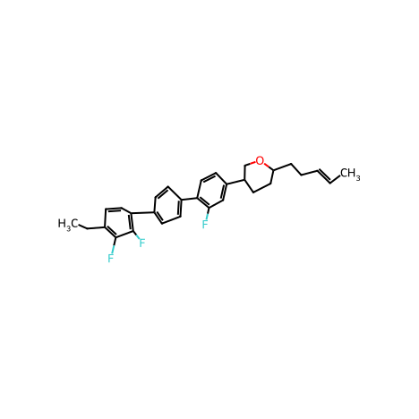 C/C=C/CCC1CCC(c2ccc(-c3ccc(-c4ccc(CC)c(F)c4F)cc3)c(F)c2)CO1